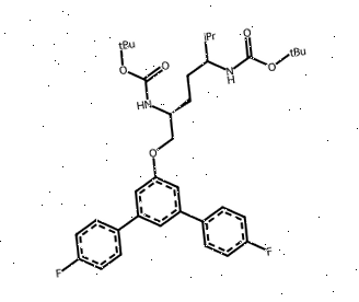 CC(C)C(CC[C@@H](COc1cc(-c2ccc(F)cc2)cc(-c2ccc(F)cc2)c1)NC(=O)OC(C)(C)C)NC(=O)OC(C)(C)C